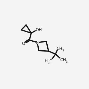 CC(C)(C)C1CN(C(=O)C2(O)CC2)C1